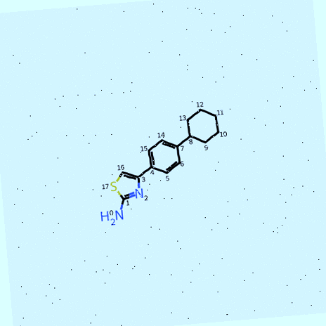 Nc1nc(-c2ccc(C3CCCCC3)cc2)cs1